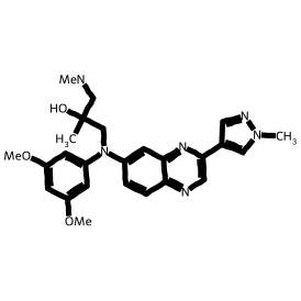 CNCC(C)(O)CN(c1cc(OC)cc(OC)c1)c1ccc2ncc(-c3cnn(C)c3)nc2c1